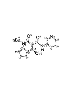 CCCCn1c(=O)c(C(=O)Nc2cccnc2)c(O)c2ccsc21